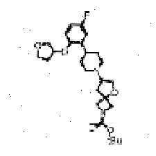 CC(C)(C)OC(=O)N1CC2(CC(N3CCC(c4cc(F)ccc4OC4CCOC4)CC3)CO2)C1